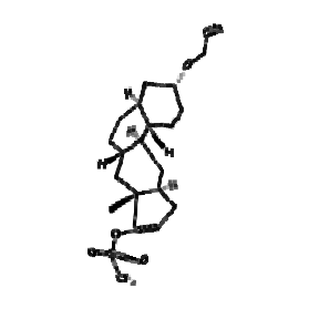 COCO[C@@H]1CC[C@H]2[C@@H](CC[C@H]3C[C@@]4(C)C(OS(=O)(=O)C(F)(F)F)=CC[C@@H]4C[C@@H]32)C1